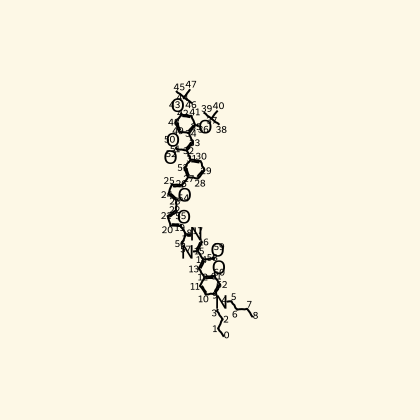 CCCCN(CCCC)c1ccc2cc(-c3cnc(-c4ccc(-c5ccc(-c6cccc(-c7cc8c(OC(C)(C)C)cc(OC(C)(C)C)cc8oc7=O)c6)o5)o4)cn3)c(=O)oc2c1